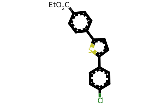 CCOC(=O)c1ccc(-c2ccc(-c3ccc(Cl)cc3)s2)cc1